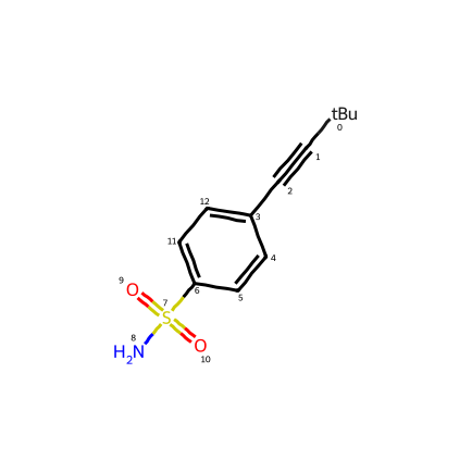 [CH2]C(C)(C)C#Cc1ccc(S(N)(=O)=O)cc1